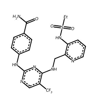 CCS(=O)(=O)Nc1cccnc1CNc1nc(Nc2ccc(C(N)=O)cc2)ncc1C(F)(F)F